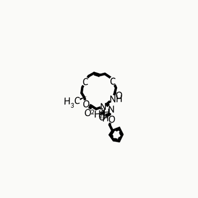 [2H]C([2H])([2H])N1CC(=O)O[C@@H](C)CCCC/C=C/CCCCC(=O)N/C1=N/C(=O)OCc1ccccc1